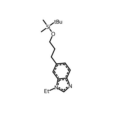 CCn1cnc2ccc(CCCO[Si](C)(C)C(C)(C)C)cc21